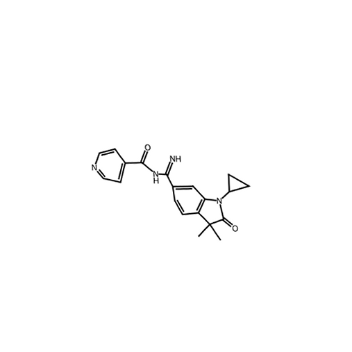 CC1(C)C(=O)N(C2CC2)c2cc(C(=N)NC(=O)c3ccncc3)ccc21